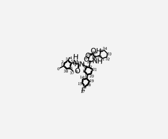 Cc1cc(C)c(NC(=O)Nc2cc(-c3ccc(F)cc3)ccc2C(=O)N[C@H](C(=O)O)C2CCCCC2)c(C)c1